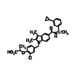 Cc1c(C)n(Cc2ccc(OC(C)C(=O)O)c(Cl)c2)c2ccc(C(=O)N[C@@H](C)c3cccc(C4CC4)c3)cc12